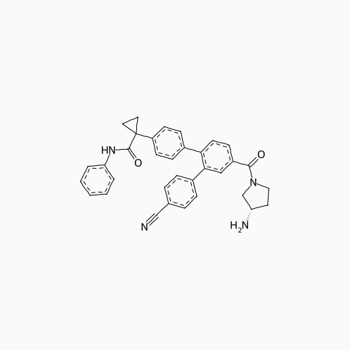 N#Cc1ccc(-c2cc(C(=O)N3CC[C@H](N)C3)ccc2-c2ccc(C3(C(=O)Nc4ccccc4)CC3)cc2)cc1